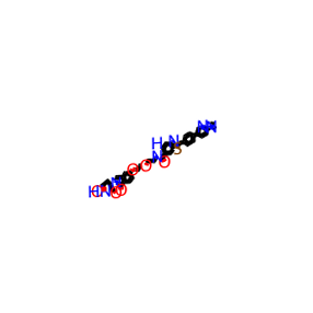 CN(C)c1ccc(-c2ccc(-c3nc4ccc(C(=O)NCCOCCOc5ccc6c(c5)CN(C5CCC(=O)NC5=O)C6=O)cc4s3)cc2)cn1